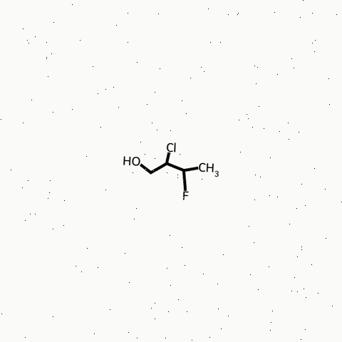 CC(F)C(Cl)CO